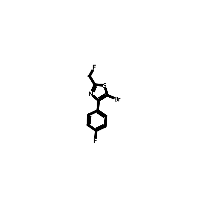 F[CH]c1nc(-c2ccc(F)cc2)c(Br)s1